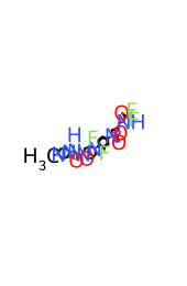 CN1CCN(NC(=O)N2CCN(c3c(F)cc(N4C[C@H](CNC(=O)C(F)F)OC4=O)cc3F)CCO2)CC1